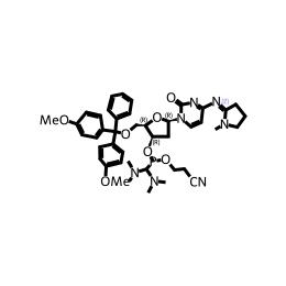 COc1ccc(C(OC[C@H]2O[C@@H](n3ccc(/N=C4/CCCN4C)nc3=O)C[C@H]2OP(OCCC#N)C(N(C)C)N(C)C)(c2ccccc2)c2ccc(OC)cc2)cc1